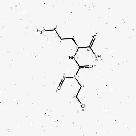 CSCC[C@H](NC(=O)N(CCCl)N=O)C(N)=O